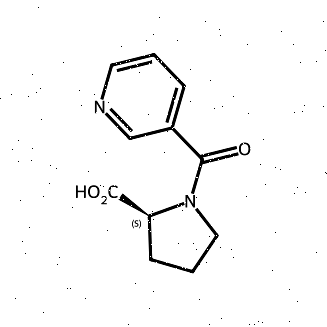 O=C(O)[C@@H]1CCCN1C(=O)c1cccnc1